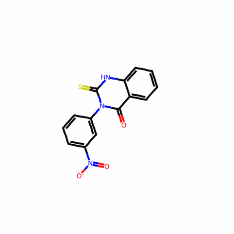 O=c1c2ccccc2[nH]c(=S)n1-c1cccc([N+](=O)[O-])c1